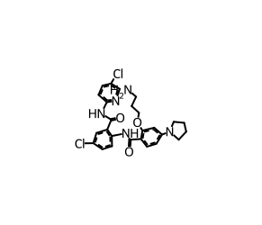 NCCCOc1cc(N2CCCC2)ccc1C(=O)Nc1ccc(Cl)cc1C(=O)Nc1ccc(Cl)cn1